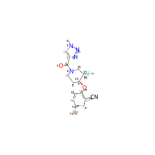 Cn1cc(C(=O)N2CC[C@H](Oc3ccc(Br)cc3C#N)[C@H](F)C2)nn1